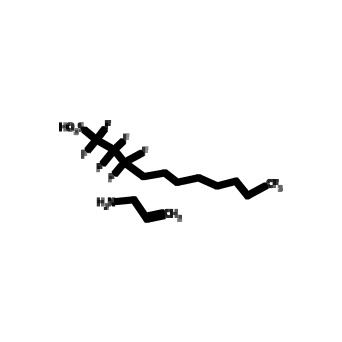 C=CCN.O=S(=O)(O)C(F)(F)C(F)(F)C(F)(F)CCCCCCCC(F)(F)F